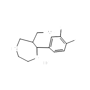 COCC1CNCCOC1c1ccc(Cl)c(Cl)c1.Cl